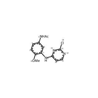 COc1ccc(NC(C)=O)cc1Nc1ccnc(Cl)n1